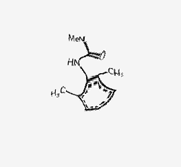 CNC(=O)Nc1c(C)cccc1C